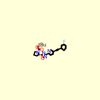 CC(C)(C)OC(=O)N1CCC[C@H]1c1nc(-c2ccc(C#Cc3cccc(F)c3)cn2)no1